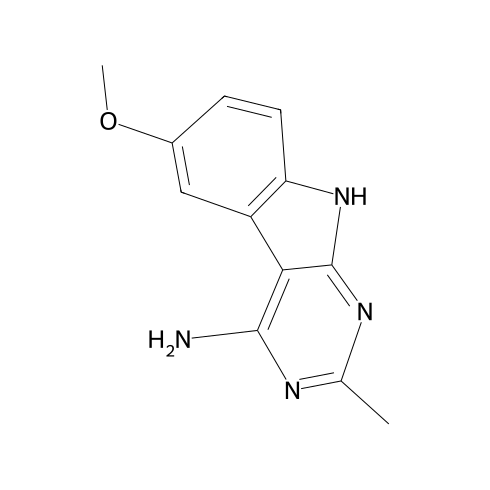 COc1ccc2[nH]c3nc(C)nc(N)c3c2c1